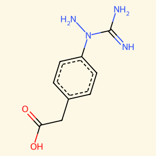 N=C(N)N(N)c1ccc(CC(=O)O)cc1